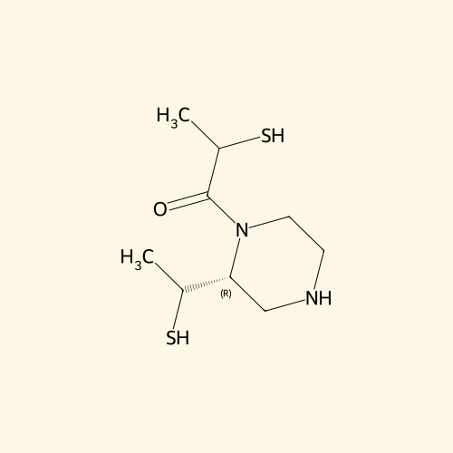 CC(S)C(=O)N1CCNC[C@@H]1C(C)S